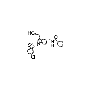 C#CCc1cn(Cc2csc3ccc(Cl)cc23)c2ccc(CNC(=O)c3ccccc3)cc12